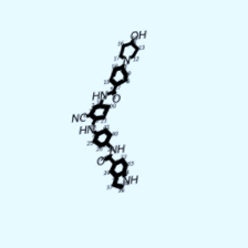 N#Cc1cc(NC(=O)c2ccc(N3CCC(O)CC3)cc2)ccc1Nc1ccc(NC(=O)c2ccc3[nH]ccc3c2)cc1